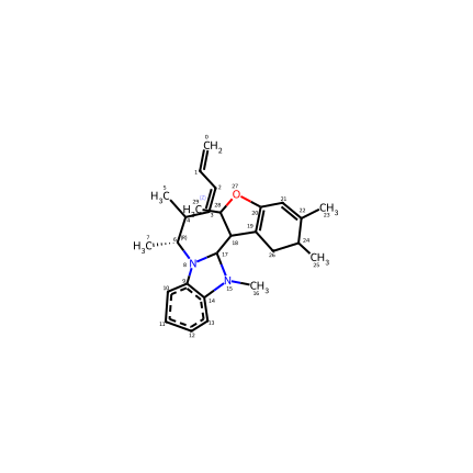 C=C/C=C\C(C)[C@@H](C)N1c2ccccc2N(C)C1C1C2=C(C=C(C)C(C)C2)OC1C